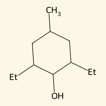 CCC1CC(C)CC(CC)C1O